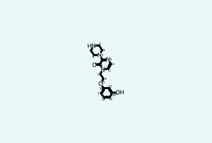 O=c1c(N2CCNCC2)nccn1CCOc1cccc(O)c1